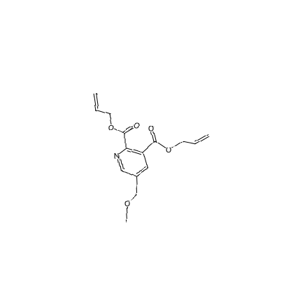 C=CCOC(=O)c1cc(COC)cnc1C(=O)OCC=C